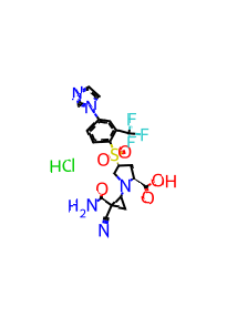 Cl.N#CC1(C(N)=O)CC1N1C[C@H](S(=O)(=O)c2ccc(-n3ccnc3)cc2C(F)(F)F)C[C@H]1C(=O)O